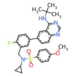 COc1ccc(S(=O)(=O)N(Cc2cc(-c3ccc4ncnc(NC(C)(C)C)c4c3)ccc2F)C2CC2)cc1